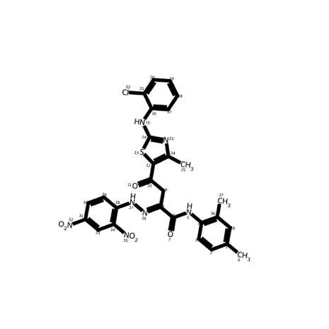 Cc1ccc(NC(=O)/C(CC(=O)c2sc(Nc3ccccc3Cl)nc2C)=N/Nc2ccc([N+](=O)[O-])cc2[N+](=O)[O-])c(C)c1